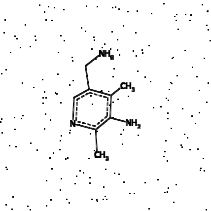 Cc1ncc(CN)c(C)c1N